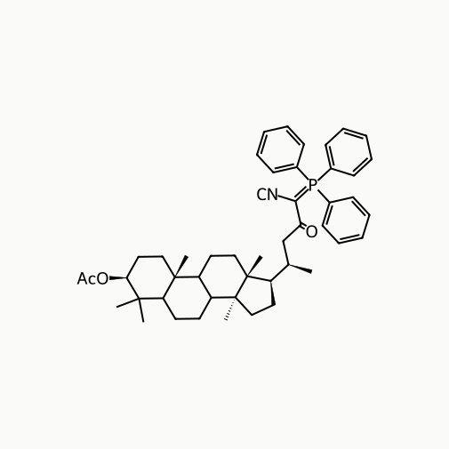 [C-]#[N+]C(C(=O)C[C@@H](C)[C@H]1CC[C@@]2(C)C3CCC4C(C)(C)[C@@H](OC(C)=O)CC[C@]4(C)C3CC[C@]12C)=P(c1ccccc1)(c1ccccc1)c1ccccc1